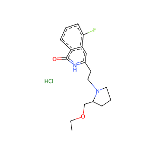 CCOCC1CCCN1CCc1cc2c(F)cccc2c(=O)[nH]1.Cl